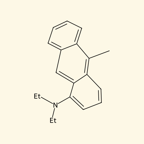 CCN(CC)c1cccc2c(C)c3ccccc3cc12